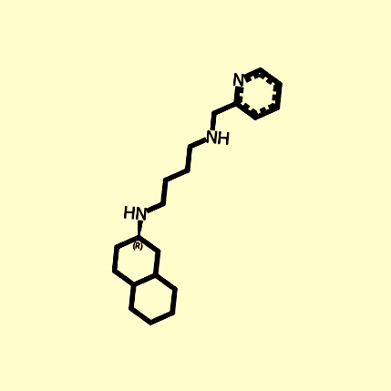 c1ccc(CNCCCCN[C@@H]2CCC3CCCCC3C2)nc1